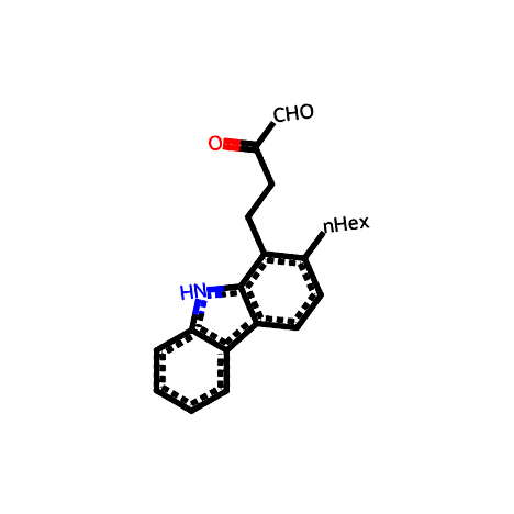 CCCCCCc1ccc2c([nH]c3ccccc32)c1CCC(=O)C=O